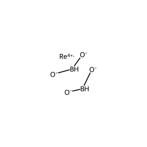 [O-]B[O-].[O-]B[O-].[Re+4]